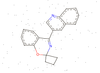 c1ccc2c(c1)OC1(CCC1)N=C2c1cnc2ccccc2c1